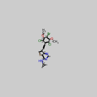 COc1c(Cl)c(C#Cc2csc3c(NC4CC4)ncnc23)c(Cl)c(OC)c1Br